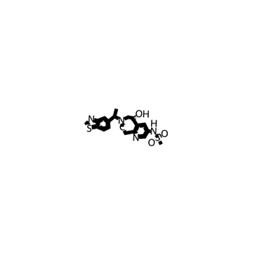 CC(c1ccc2scnc2c1)N1CCc2ncc(NS(C)(=O)=O)cc2[C@@H](O)C1